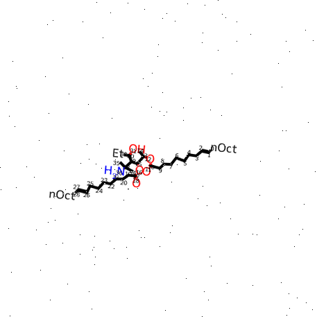 CCCCCCCCC=CCCCCCCCC(=O)OC(C)C(OC(=O)CCCCCCCC=CCCCCCCCC)C(C(O)CC)C(C)(C)N